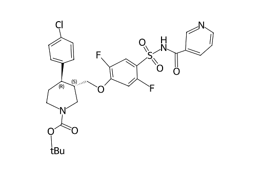 CC(C)(C)OC(=O)N1CC[C@@H](c2ccc(Cl)cc2)[C@H](COc2cc(F)c(S(=O)(=O)NC(=O)c3cccnc3)cc2F)C1